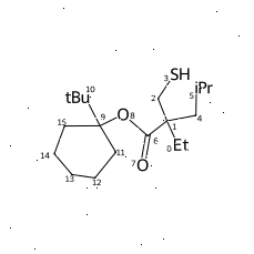 CCC(CS)(CC(C)C)C(=O)OC1(C(C)(C)C)CCCCC1